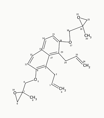 C=CCc1c(OCC2(C)CO2)ccc2ccc(OCC3(C)CO3)c(CC=C)c12